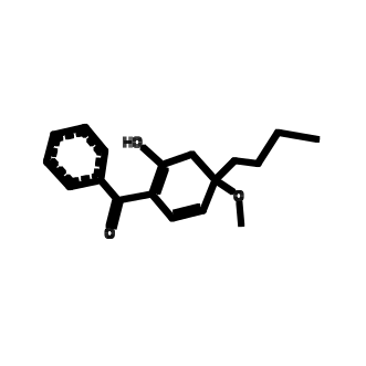 CCCCC1(OC)C=CC(C(=O)c2ccccc2)=C(O)C1